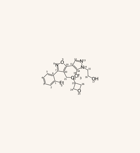 CCc1ccccc1-c1noc(-c2cnn(CCO)c2C(F)(F)F)c1COC1COC1